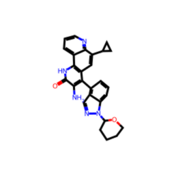 Nc1c(-c2cccc3c2cnn3C2CCCCO2)c2cc(C3CC3)c3ncccc3c2[nH]c1=O